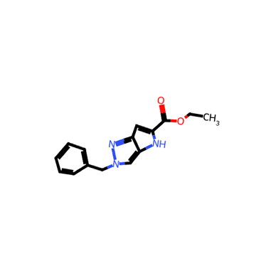 CCOC(=O)c1cc2nn(Cc3ccccc3)cc2[nH]1